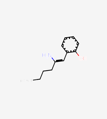 CCCCCCCCCCCC(N)=Cc1ccccc1O